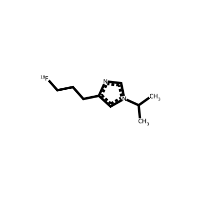 CC(C)n1cnc(CCC[18F])c1